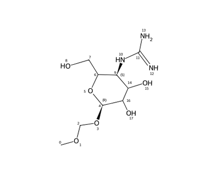 COCO[C@H]1OC(CO)[C@@H](NC(=N)N)C(O)C1O